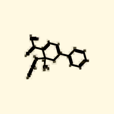 COC(=O)C1=CC=C(c2ccccc2)CC1(N=[N+]=[N-])C(F)(F)F